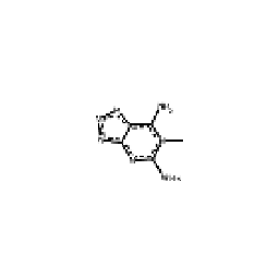 CCCCCCc1nc2nnnc-2c(N)n1C